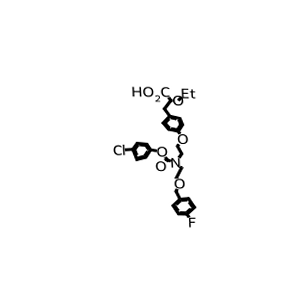 CCOC(Cc1ccc(OCCN(CCOCc2ccc(F)cc2)C(=O)Oc2ccc(Cl)cc2)cc1)C(=O)O